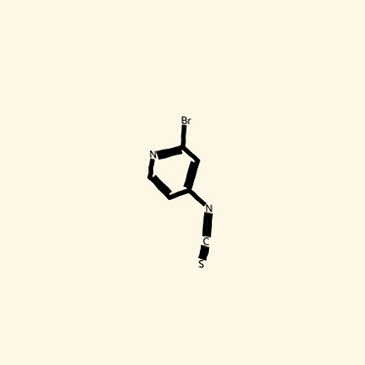 S=C=Nc1ccnc(Br)c1